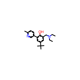 CCN(CC)Cc1cc(C(C)(C)C)cc(-c2ccc(C)nc2)c1O